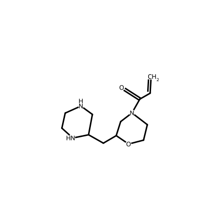 C=CC(=O)N1CCOC(CC2CNCCN2)C1